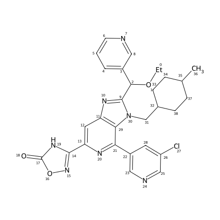 CCOC(c1cccnc1)c1nc2cc(-c3noc(=O)[nH]3)nc(-c3cncc(Cl)c3)c2n1CC1CCC(C)CC1